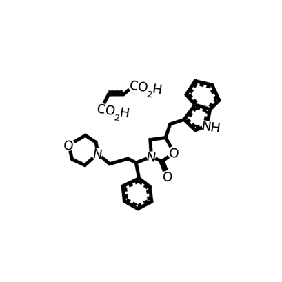 O=C(O)C=CC(=O)O.O=C1OC(Cc2c[nH]c3ccccc23)CN1C(CCN1CCOCC1)c1ccccc1